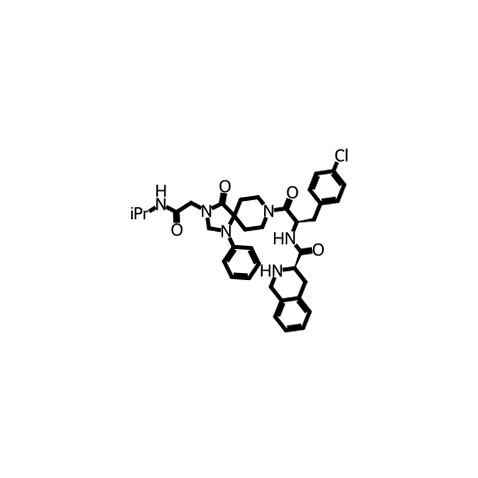 CC(C)NC(=O)CN1CN(c2ccccc2)C2(CCN(C(=O)[C@@H](Cc3ccc(Cl)cc3)NC(=O)[C@H]3Cc4ccccc4CN3)CC2)C1=O